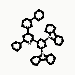 c1ccc(-c2cccc(-c3cc(-c4ccccc4)nc(-c4cc(-n5c6ccccc6c6ccccc65)cc(-n5c6ccccc6c6ccccc65)c4)c3)c2)cc1